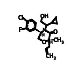 C=CC[C@@]1(C)OC[C@@H](c2ccc(Cl)c(F)c2)N(C(CO)C2CC2)C1=O